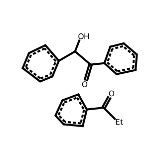 CCC(=O)c1ccccc1.O=C(c1ccccc1)C(O)c1ccccc1